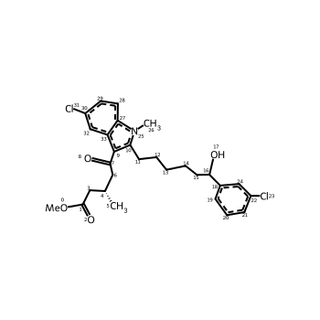 COC(=O)C[C@@H](C)CC(=O)c1c(CCCCCC(O)c2cccc(Cl)c2)n(C)c2ccc(Cl)cc12